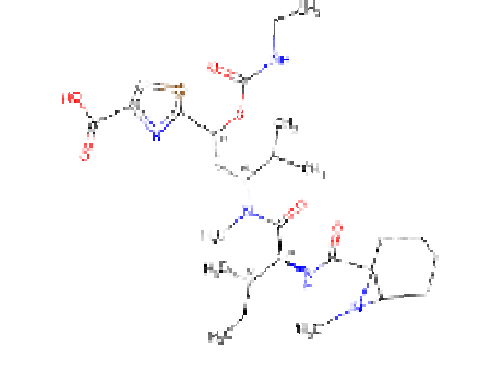 CCNC(=O)O[C@H](C[C@H](C(C)C)N(C)C(=O)[C@@H](NC(=O)C12CCCCC1N2C)[C@@H](C)CC)c1nc(C(=O)O)cs1